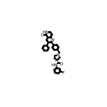 O=C(Nc1cccc(F)c1)[C@@H]1CCN(Cc2ccc(-c3nc4cc[nH]c(=O)c4cc3-c3ccccc3)cc2)C1